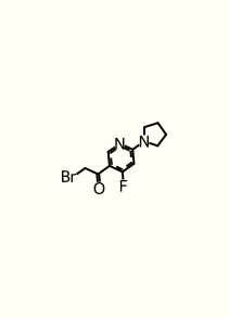 O=C(CBr)c1cnc(N2CCCC2)cc1F